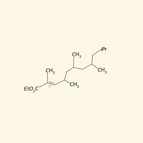 CCOC(=O)/C(C)=C/C(C)CC(C)CC(C)CC(C)C